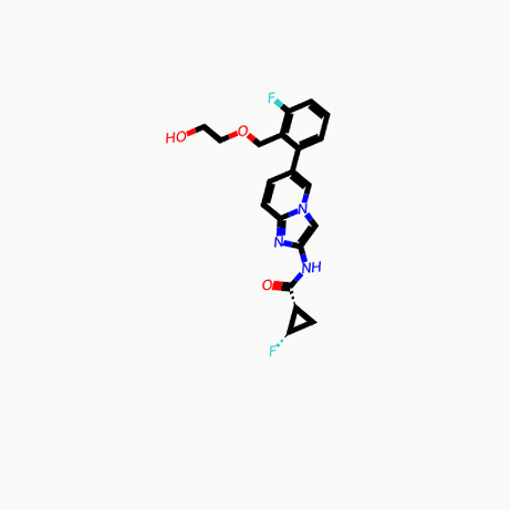 O=C(Nc1cn2cc(-c3cccc(F)c3COCCO)ccc2n1)[C@@H]1C[C@@H]1F